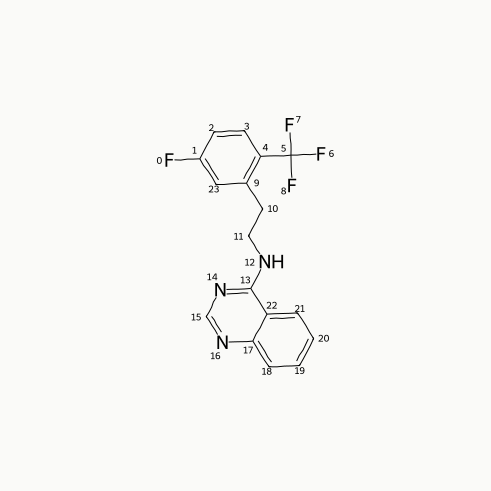 Fc1ccc(C(F)(F)F)c(CCNc2ncnc3ccccc23)c1